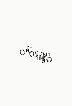 CN(c1ccccc1)c1ccc2cc(C(=O)NS(=O)(=O)c3ccccc3Cl)oc2c1